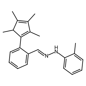 CC1=C(C)C(C)C(c2ccccc2C=NNc2ccccc2C)=C1C